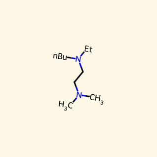 [CH2]CN(CCCC)CCN(C)C